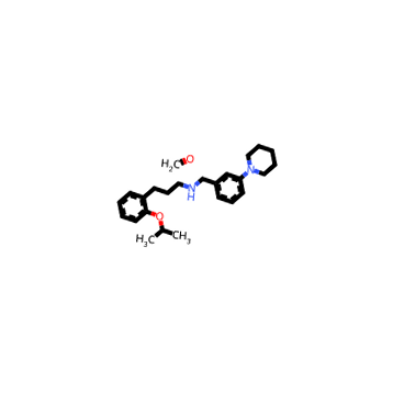 C=O.CC(C)Oc1ccccc1CCCNCc1cccc(N2CCCCC2)c1